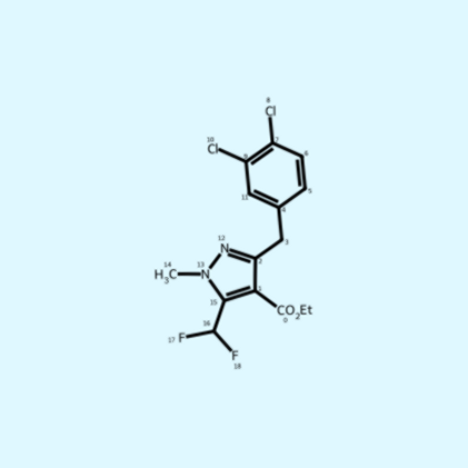 CCOC(=O)c1c(Cc2ccc(Cl)c(Cl)c2)nn(C)c1C(F)F